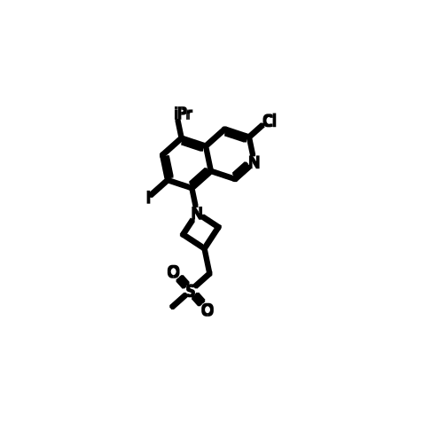 CC(C)c1cc(I)c(N2CC(CS(C)(=O)=O)C2)c2cnc(Cl)cc12